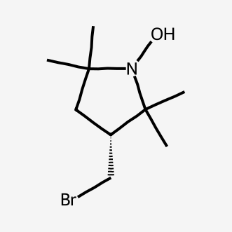 CC1(C)C[C@@H](CBr)C(C)(C)N1O